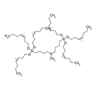 CCC/C=C\CCO[Si](CCCCN(C)CCCC[Si](OCC/C=C\CCC)(OCC/C=C\CCC)OCC/C=C\CCC)(OCC/C=C\CCC)OCC/C=C\CCC